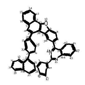 C1=CC(c2nc(-c3ccc4oc5c6ccccc6cc(-c6ccc(-c7cccc8ccccc78)cc6)c5c4c3)c3ccccc3n2)=CCC1